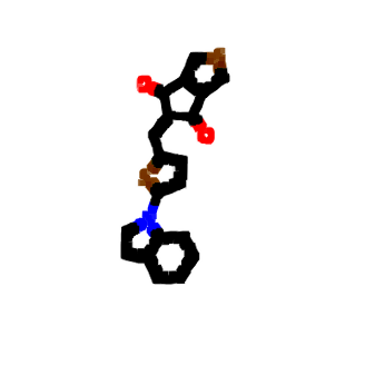 O=C1C(=Cc2ccc(-n3ccc4ccccc43)s2)C(=O)c2cscc21